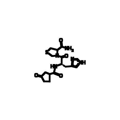 NC(=O)C1CSCN1C(=O)[C@H](Cc1c[nH]cn1)NC(=O)C1CCC(=O)C1